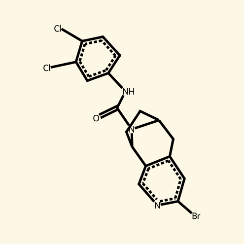 O=C(Nc1ccc(Cl)c(Cl)c1)N1C2CCC1c1cnc(Br)cc1C2